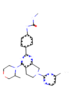 CCNC(=O)Nc1ccc(-c2nc3c(c(N4CCOCC4C)n2)CCN(c2nccc(OC)n2)C3)cc1